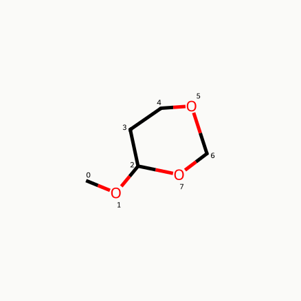 COC1CCOCO1